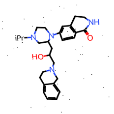 CC(C)N1CCN(c2ccc3c(c2)CCNC3=O)C(CC(O)CN2CCc3ccccc3C2)C1